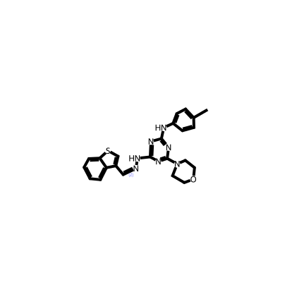 Cc1ccc(Nc2nc(N/N=C\c3csc4ccccc34)nc(N3CCOCC3)n2)cc1